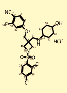 Cl.N#Cc1ccc(OCC2(CNC3CCC(O)CC3)CN(S(=O)(=O)c3ccc(Cl)cc3Cl)C2)cc1F